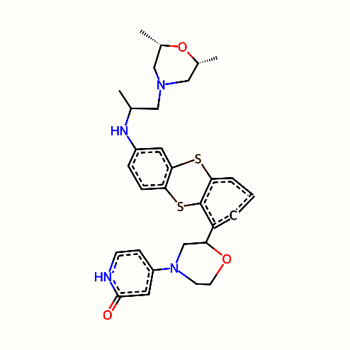 CC(CN1C[C@@H](C)O[C@@H](C)C1)Nc1ccc2c(c1)Sc1cccc(C3CN(c4cc[nH]c(=O)c4)CCO3)c1S2